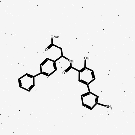 COC(=O)CC(NC(=O)c1cc(-c2cccc(N)c2)ccc1O)c1ccc(-c2ccccc2)cc1